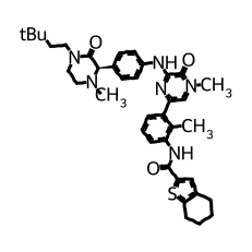 Cc1c(NC(=O)c2cc3c(s2)CCCC3)cccc1-c1cn(C)c(=O)c(Nc2ccc([C@@H]3C(=O)N(CCC(C)(C)C)CCN3C)cc2)n1